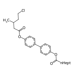 CCCCCCCC(=O)Oc1ccc(-c2ccc(OC(=O)CC(C)CCCl)cc2)cc1